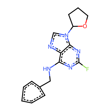 Fc1nc(NCc2ccccc2)c2ncn(C3CCCO3)c2n1